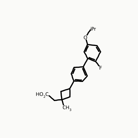 CC(C)Oc1ccc(F)c(-c2ccc(C3CC(C)(CC(=O)O)C3)cc2)c1